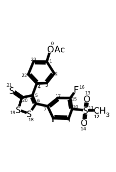 CC(=O)Oc1ccc(-c2c(-c3ccc(S(C)(=O)=O)c(F)c3)ssc2=S)cc1